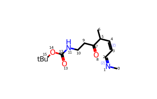 C/N=C\C=C/C(C)C(=O)CCNC(=O)OC(C)(C)C